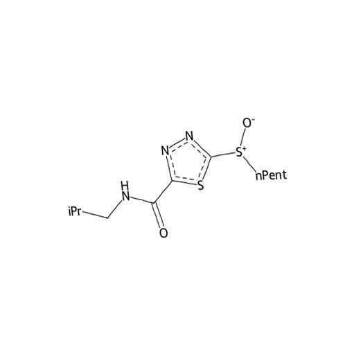 CCCCC[S+]([O-])c1nnc(C(=O)NCC(C)C)s1